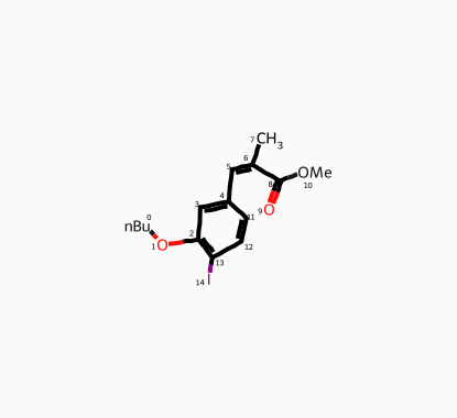 CCCCOc1cc(C=C(C)C(=O)OC)ccc1I